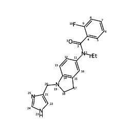 CCN(C(=O)c1ccccc1F)c1ccc2c(c1)CCN2Cc1c[nH]cn1